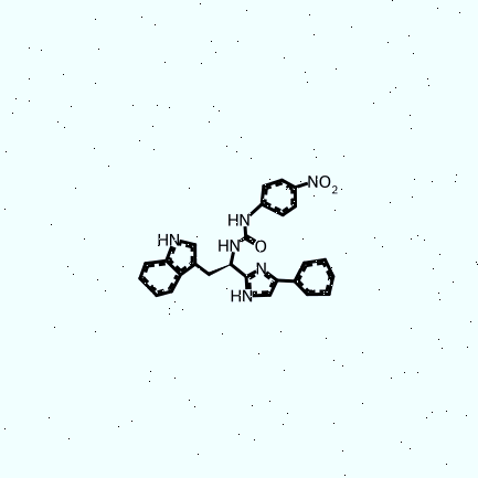 O=C(Nc1ccc([N+](=O)[O-])cc1)N[C@H](Cc1c[nH]c2ccccc12)c1nc(-c2ccccc2)c[nH]1